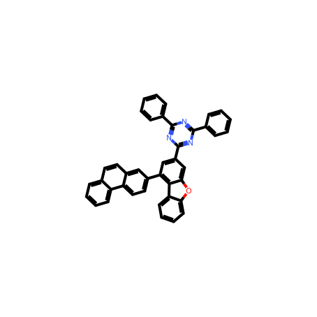 c1ccc(-c2nc(-c3ccccc3)nc(-c3cc(-c4ccc5c(ccc6ccccc65)c4)c4c(c3)oc3ccccc34)n2)cc1